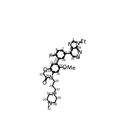 CCn1cnc2c(-c3ccc(F)c(-c4cc5c(cc4OC)N(CCCN4CCN(C)CC4)C(=O)CO5)c3)cnnc21